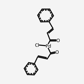 O=[C](C=Cc1ccccc1)[Pd]([Cl])[C](=O)C=Cc1ccccc1